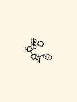 O=S(=O)(Nc1cncc(-c2ccc3ncc(CN4CCOCC4)n3c2)c1)c1ccccc1